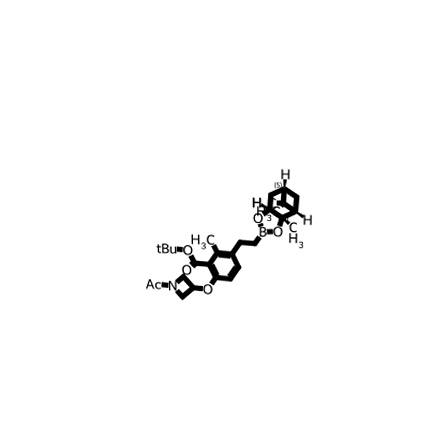 CC(=O)N1CC(Oc2ccc(CCB3O[C@@H]4C[C@@H]5C[C@@H](C5(C)C)[C@]4(C)O3)c(C)c2C(=O)OC(C)(C)C)C1